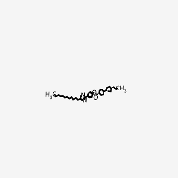 CCCCCCCCCCCCc1cnc(-c2ccc(OC(=O)[C@H]3CC[C@H]([C@H]4CC[C@H](CCC)CC4)CC3)cc2)nc1